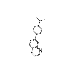 CC(C)c1ccc(-c2ccc3cccnc3c2)cc1